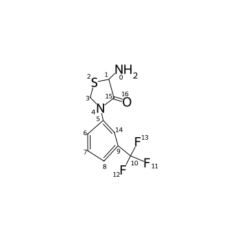 NC1SCN(c2cccc(C(F)(F)F)c2)C1=O